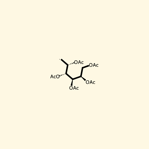 [CH2][C@H](OC(C)=O)[C@@H](OC(C)=O)[C@H](OC(C)=O)[C@@H](COC(C)=O)OC(C)=O